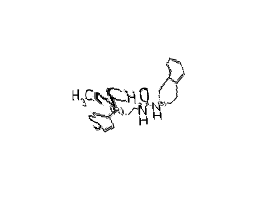 CN(C)[C@H](CCNC(=O)N[C@H]1CCc2ccccc2C1)c1ccsc1